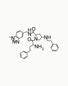 Cn1nnc2cc(CNC(=O)C3CC(NCCc4ccccc4)CN3C(=O)C(N)CCc3ccccc3)ccc21